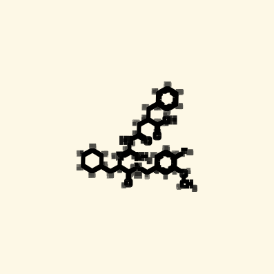 COc1cc(CNC(=O)C(CC2CCCCC2)N=C(N)NC(=O)CC(Cc2ccccc2)C(=O)O)ccc1F